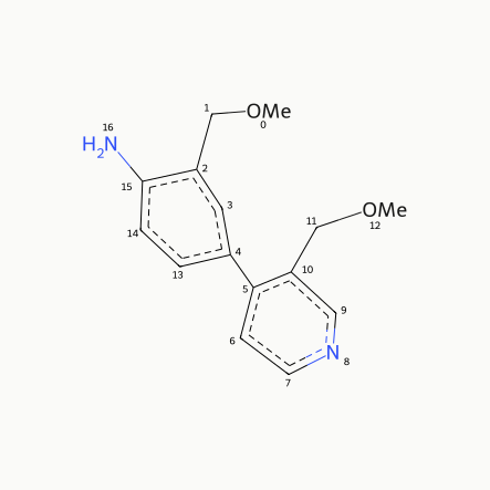 COCc1cc(-c2ccncc2COC)ccc1N